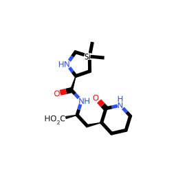 C[Si]1(C)CN[C@H](C(=O)N[C@@H](C[C@@H]2CCCNC2=O)C(=O)O)C1